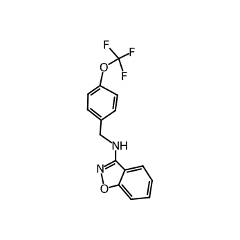 FC(F)(F)Oc1ccc(CNc2noc3ccccc23)cc1